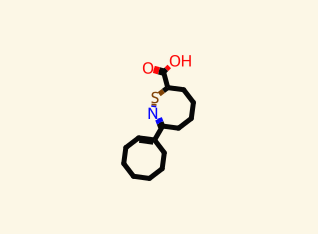 O=C(O)C1CCCCC(/C2=C/CCCCCC2)=N\S1